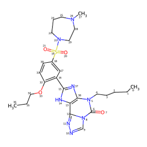 CCCCCn1c(=O)n2cnnc2c2[nH]c(-c3cc(S(=O)(=O)N4CCCN(C)CC4)ccc3OCCC)nc21